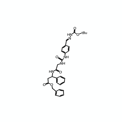 CC(C)(C)OC(=O)NN=Cc1ccc(NC(=O)NCC(=O)NC(CC(=O)OCc2ccccc2)c2ccccc2)cc1